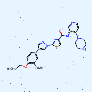 COCCOc1ccc(-c2cnn(-c3nc(C(=O)Nc4cnccc4N4CCNCC4)cs3)c2)cc1OC